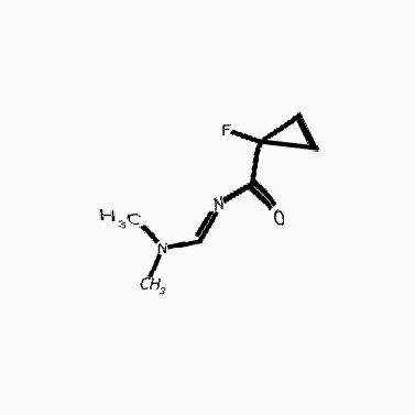 CN(C)C=NC(=O)C1(F)CC1